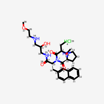 CCC(CC)C(=O)N(C(=O)[C@@H]1CCCN1)[C@H](Cc1ccc2ccccc2c1)C(=O)NCC(O)CNCCOC.Cl